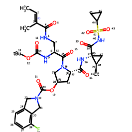 C/C=C(\C)C(=O)NC[C@H](NC(=O)OC(C)(C)C)C(=O)N1C[C@H](OC(=O)N2Cc3cccc(F)c3C2)C[C@H]1C(=O)N[C@]1(C(=O)NS(=O)(=O)C2CC2)C[C@H]1CC